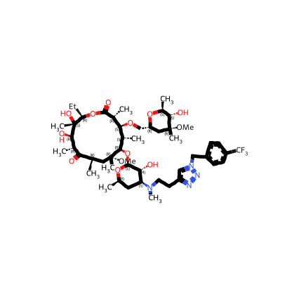 CC[C@H]1OC(=O)[C@H](C)[C@@H](OC[C@H]2C[C@@](C)(OC)[C@@H](O)[C@H](C)O2)[C@H](C)[C@@H](O[C@@H]2O[C@H](C)C[C@H](N(C)CCc3cn(Cc4ccc(C(F)(F)F)cc4)nn3)[C@H]2O)[C@](C)(OC)C[C@@H](C)C(=O)[C@H](C)[C@@H](O)[C@]1(C)O